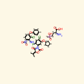 CC(C)=C1OC(=O)N(c2cc(OC3CCCC3)c(Cl)cc2F)C1=O.CP(=O)(O)CCC(N)C(=O)O.Nc1c([N+](=O)[O-])ccc(Oc2ccccc2)c1Cl